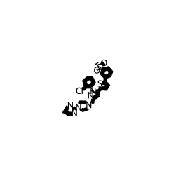 CS(=O)(=O)c1cccc(-c2ccc(-c3cc(CN4CCN(c5ncccn5)CC4)nn3-c3ccccc3Cl)s2)c1